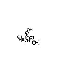 CSN1CC(Nc2nc(N3CCC(O)C3)c3cnn(-c4cccc(C(F)F)c4)c3n2)C1